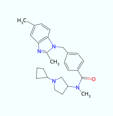 Cc1ccc2c(c1)nc(C)n2Cc1ccc(C(=O)N(C)C2CCN(C3CCC3)C2)cc1